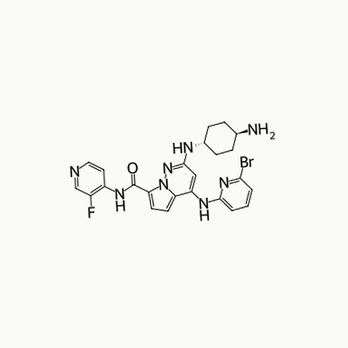 N[C@H]1CC[C@H](Nc2cc(Nc3cccc(Br)n3)c3ccc(C(=O)Nc4ccncc4F)n3n2)CC1